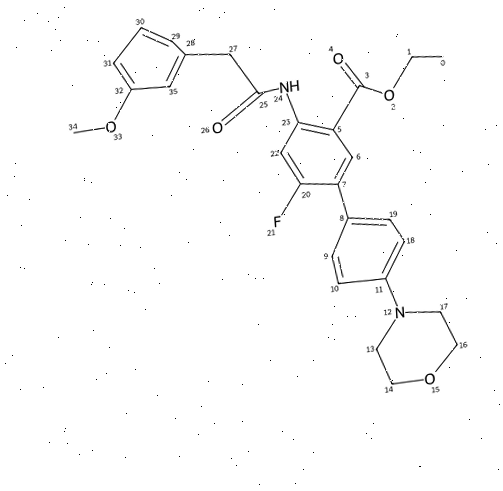 CCOC(=O)c1cc(-c2ccc(N3CCOCC3)cc2)c(F)cc1NC(=O)Cc1cccc(OC)c1